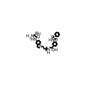 CCC(C)[C@H](N)C(=O)Nc1ccc2c(ccn2CCC(C)(C)NC[C@H](O)c2cccc(NS(=O)(=O)c3ccccc3)c2)c1